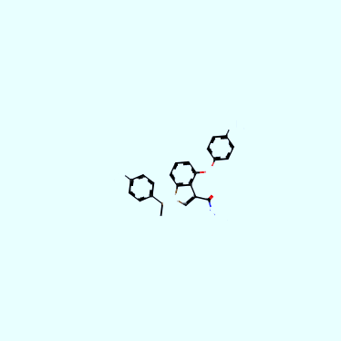 CC(c1ccc(C(=O)O)cc1)[SH]1C=C(C(N)=O)c2c(Oc3ccc(C(F)(F)F)cc3)cccc21